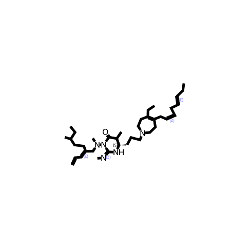 C=C/C=C(\CCC(C)CC)CN(C)N1C(=O)C(C)[C@H](CCCN2CCC(CC)=C(C/C=C\C/C=C/CC)CC2)N/C1=N/C